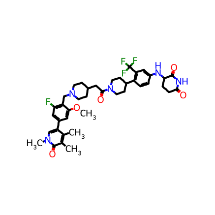 COc1cc(-c2cn(C)c(=O)c(C)c2C)cc(F)c1CN1CCC(CC(=O)N2CCC(c3ccc(NC4CCC(=O)NC4=O)cc3C(F)(F)F)CC2)CC1